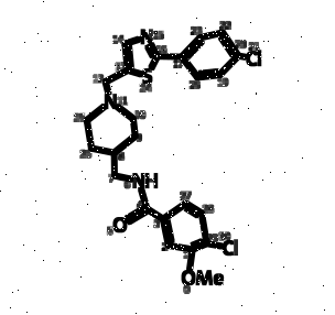 COc1cc(C(=O)NCC2CCN(Cc3cnc(-c4ccc(Cl)cc4)s3)CC2)ccc1Cl